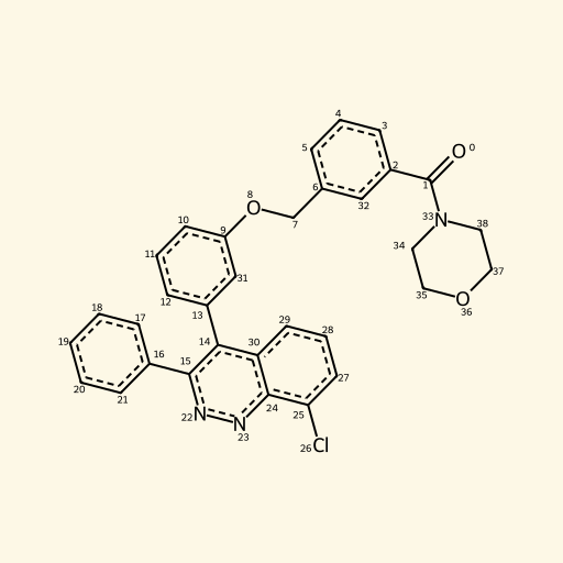 O=C(c1cccc(COc2cccc(-c3c(-c4ccccc4)nnc4c(Cl)cccc34)c2)c1)N1CCOCC1